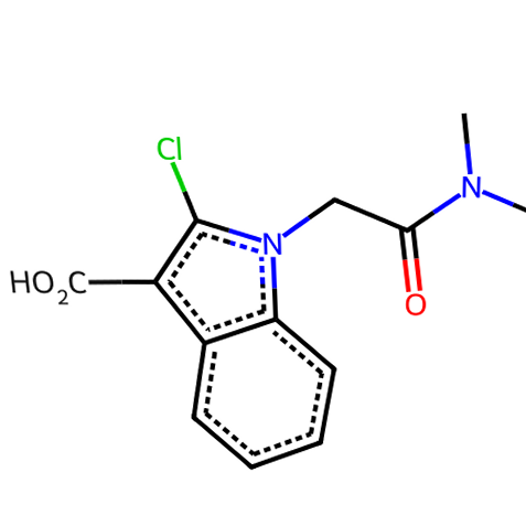 CN(C)C(=O)Cn1c(Cl)c(C(=O)O)c2ccccc21